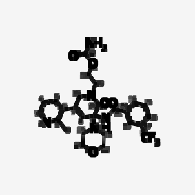 Cc1ncccc1C1=CC(NC(=O)c2cccc(C(F)(F)F)c2)(N2CCOCC2)C(=O)N(CCOC(N)=O)C1